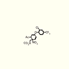 CC(=O)C1C=C(Oc2ccc(C(F)(F)F)cc2Cl)C=CC1(CC(=O)O)[N+](=O)[O-]